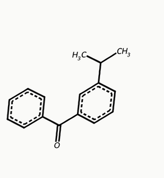 CC(C)c1cccc(C(=O)c2ccccc2)c1